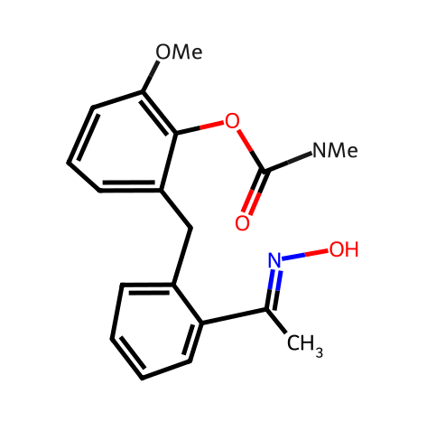 CNC(=O)Oc1c(Cc2ccccc2C(C)=NO)cccc1OC